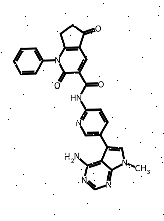 Cn1cc(-c2ccc(NC(=O)c3cc4c(n(-c5ccccc5)c3=O)CCC4=O)nc2)c2c(N)ncnc21